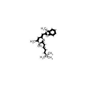 CC1=C/C(=C/c2sc3ccccc3[n+]2C)N=C(CCCC[N+](C)(C)C)N1C